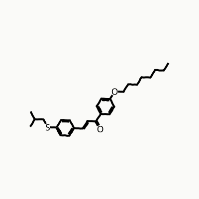 CCCCCCCCOc1ccc(C(=O)C=Cc2ccc(SCC(C)C)cc2)cc1